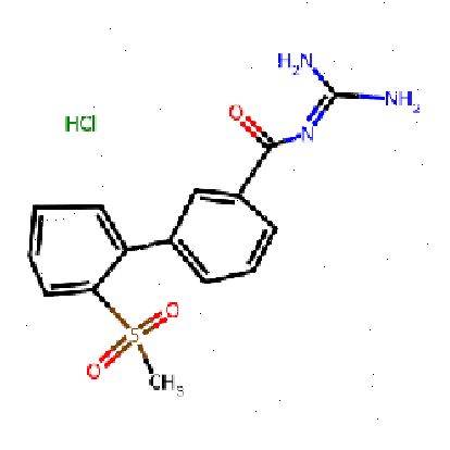 CS(=O)(=O)c1ccccc1-c1cccc(C(=O)N=C(N)N)c1.Cl